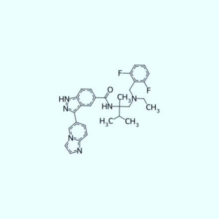 CCN(Cc1c(F)cccc1F)CC(C)(NC(=O)c1ccc2[nH]nc(-c3ccc4nccn4c3)c2c1)C(C)C